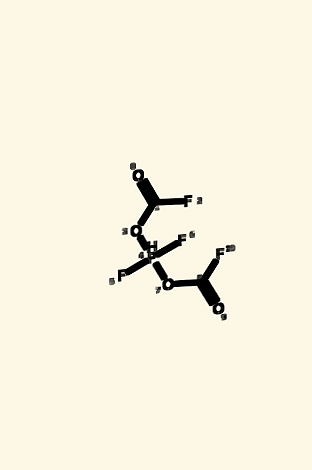 O=C(F)O[PH](F)(F)OC(=O)F